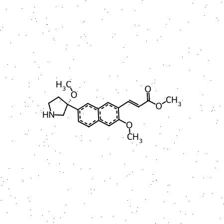 COC(=O)C=Cc1cc2cc([C@]3(OC)CCNC3)ccc2cc1OC